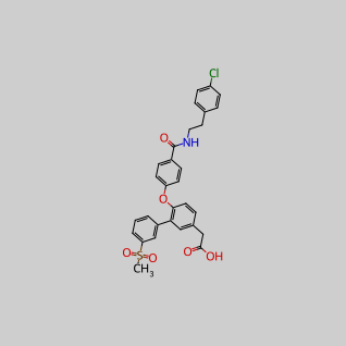 CS(=O)(=O)c1cccc(-c2cc(CC(=O)O)ccc2Oc2ccc(C(=O)NCCc3ccc(Cl)cc3)cc2)c1